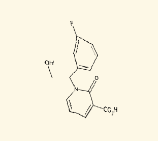 O=C(O)c1cccn(C(CO)c2cccc(F)c2)c1=O